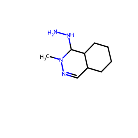 CN1N=CC2CCCCC2C1NN